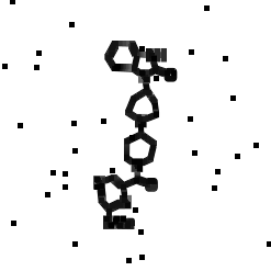 CNc1cncc(C(=O)N2CCC(N3CCC(n4c(=O)[nH]c5ccccc54)CC3)CC2)n1